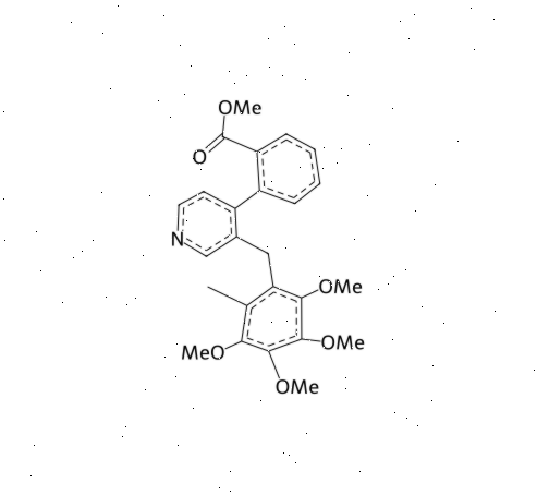 COC(=O)c1ccccc1-c1ccncc1Cc1c(C)c(OC)c(OC)c(OC)c1OC